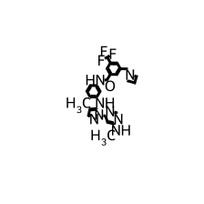 CNc1cc(-n2nccc2Nc2cc(NC(=O)c3cc(CN4CCC4)cc(C(F)(F)F)c3)ccc2C)ncn1